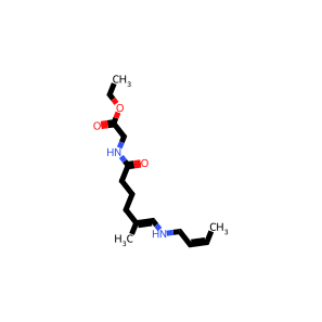 C/C=C\CN/C=C(\C)CCCC(=O)NCC(=O)OCC